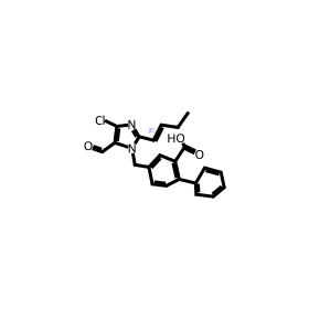 CC/C=C/c1nc(Cl)c(C=O)n1Cc1ccc(-c2ccccc2)c(C(=O)O)c1